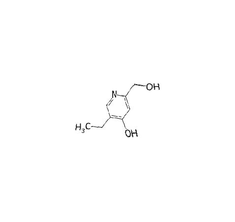 CCc1cnc(CO)cc1O